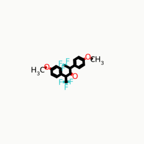 COc1ccc(C(C(=O)C(c2ccc(OC)cc2)C(F)(F)F)C(F)(F)F)cc1